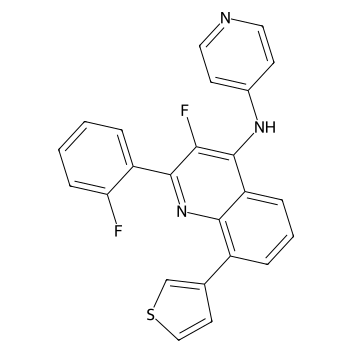 Fc1ccccc1-c1nc2c(-c3ccsc3)cccc2c(Nc2ccncc2)c1F